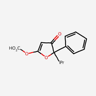 CC(C)C1(c2ccccc2)OC(OC(=O)O)=CC1=O